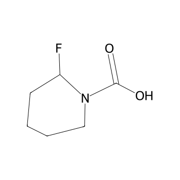 O=C(O)N1CCCCC1F